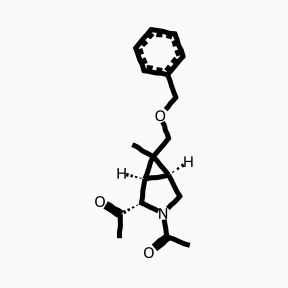 CC(=O)[C@@H]1[C@@H]2[C@H](CN1C(C)=O)C2(C)COCc1ccccc1